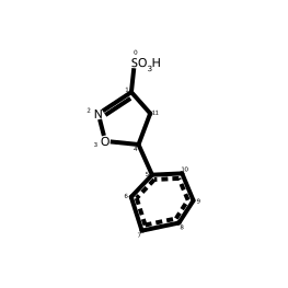 O=S(=O)(O)C1=NOC(c2ccccc2)C1